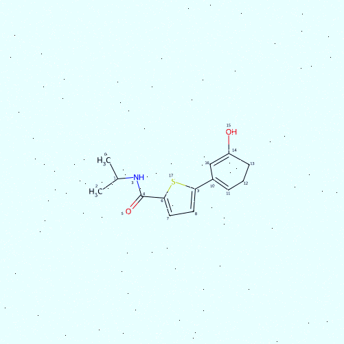 CC(C)NC(=O)c1ccc(C2=CCCC(O)=C2)s1